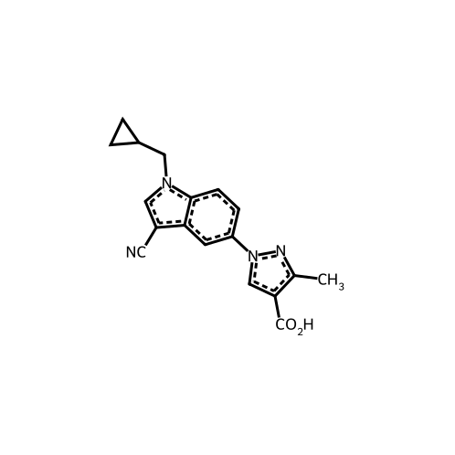 Cc1nn(-c2ccc3c(c2)c(C#N)cn3CC2CC2)cc1C(=O)O